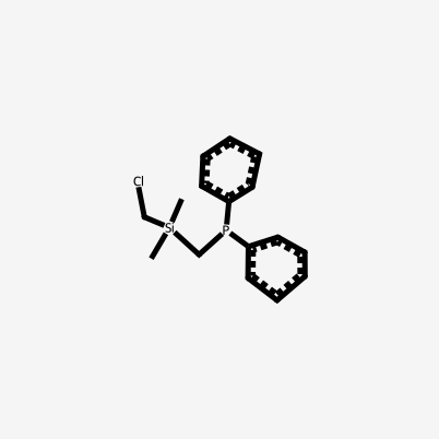 C[Si](C)(CCl)CP(c1ccccc1)c1ccccc1